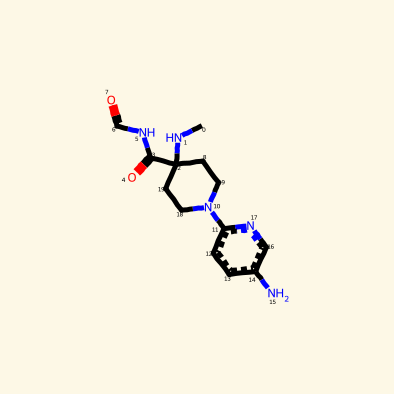 CNC1(C(=O)NC=O)CCN(c2ccc(N)cn2)CC1